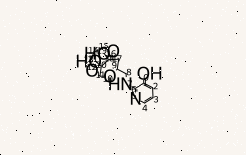 Oc1cccnc1NCC1OC2OCCCOC1C(O)C2O